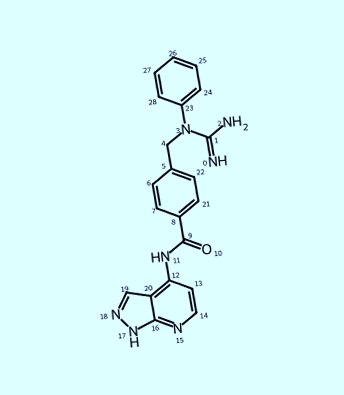 N=C(N)N(Cc1ccc(C(=O)Nc2ccnc3[nH]ncc23)cc1)c1ccccc1